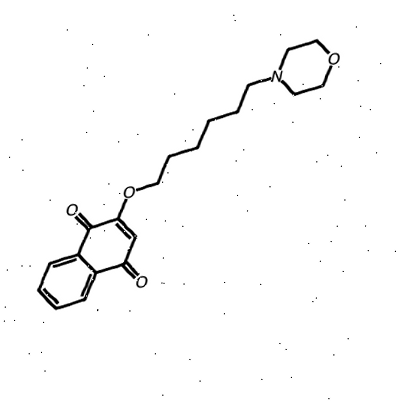 O=C1C=C(OCCCCCCN2CCOCC2)C(=O)c2ccccc21